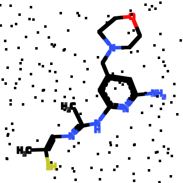 C/C(S)=C/N=C(\C)Nc1cc(CN2CCOCC2)cc(N)n1